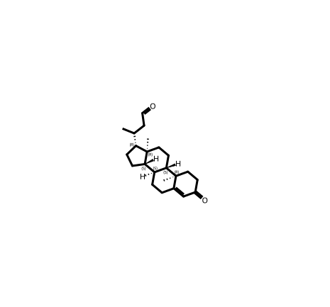 CC(CC=O)[C@H]1CC[C@H]2[C@@H]3CCC4=CC(=O)CC[C@]4(C)[C@H]3CC[C@]12C